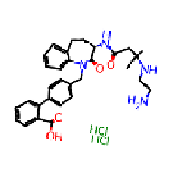 CC(C)(CC(=O)N[C@@H]1CCc2ccccc2N(Cc2ccc(-c3ccccc3C(=O)O)cc2)C1=O)NCCN.Cl.Cl